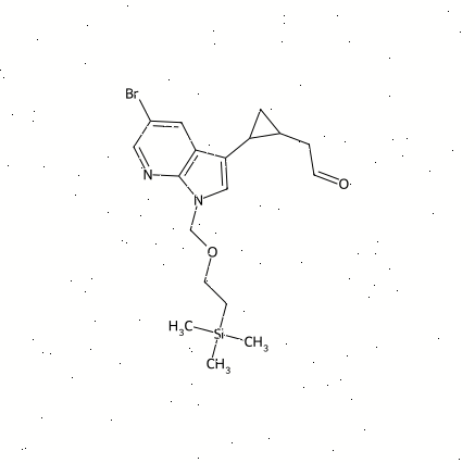 C[Si](C)(C)CCOCn1cc(C2CC2CC=O)c2cc(Br)cnc21